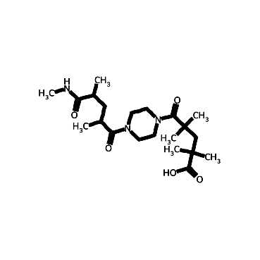 CNC(=O)C(C)CC(C)C(=O)N1CCN(C(=O)C(C)(C)CC(C)(C)C(=O)O)CC1